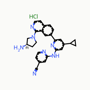 Cl.N#Cc1ccnc(Nc2cc(C3CC3)cc(-c3ccc4ccnc(N5CC[C@@H](N)C5)c4c3)n2)c1